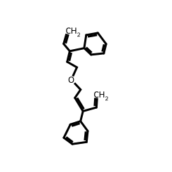 C=CC(=CCOCC=C(C=C)c1ccccc1)c1ccccc1